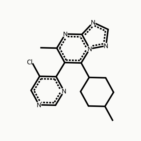 Cc1nc2ncnn2c(C2CCC(C)CC2)c1-c1ncncc1Cl